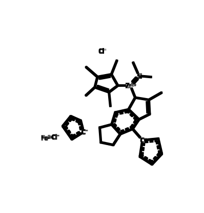 CC1=Cc2c(cc3c(c2-[c-]2cccc2)CCC3)[CH]1[Zr+2]([CH]1C(C)=C(C)C(C)=C1C)=[Si](C)C.[Cl-].[Cl-].[Fe+2].c1cc[cH-]c1